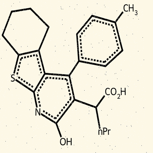 CCCC(C(=O)O)c1c(O)nc2sc3c(c2c1-c1ccc(C)cc1)CCCC3